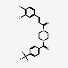 O=C(/C=C/c1ccc(Cl)c(Cl)c1)N1CCN(C(=O)c2ccc(C(F)(F)F)cc2)CC1